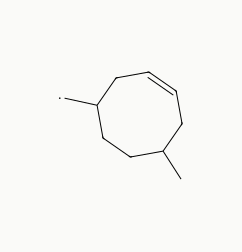 [CH2]C1C/C=C\CC(C)CC1